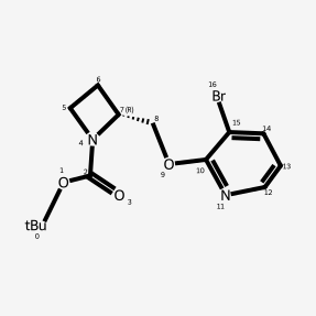 CC(C)(C)OC(=O)N1CC[C@@H]1COc1ncccc1Br